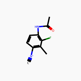 [C-]#[N+]c1ccc(NC(C)=O)c(F)c1C